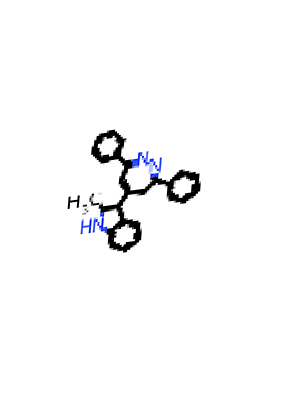 CC1Nc2ccccc2C1C1=CC(c2ccccc2)=NN=C(c2ccccc2)C1